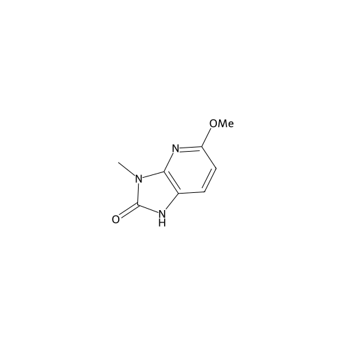 COc1ccc2[nH]c(=O)n(C)c2n1